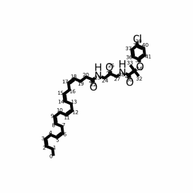 CC/C=C\C/C=C\C/C=C\C/C=C\C/C=C\C/C=C\CCC(=O)NCC(=O)CNC(=O)C(C)(C)Oc1ccc(Cl)cc1